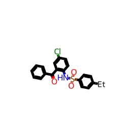 CCc1ccc(S(=O)(=O)Nc2ccc(Cl)cc2C(=O)c2ccccc2)cc1